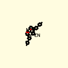 Cc1ccc(-c2ccc3c(c2)c2ccccc2n3-c2cc(C#N)cc(-n3c4ccccc4c4cc(-c5ccc(C)cc5)ccc43)c2-c2cc(C)nc(C)c2)cc1